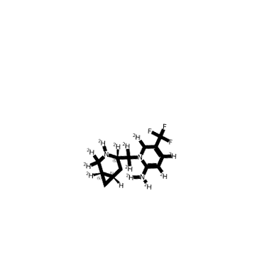 [2H]C1=C(N([2H])[2H])N(C([2H])([2H])[C@]2([2H])C[C@@H]3C[C@]3([2H])C([2H])([2H])N2[2H])C([2H])C(C(F)(F)F)=C1[2H]